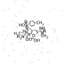 CCC1(N)C(=O)N2C(OC(=O)O)=C(CSc3nnnn3C)CS[C@H]21.Cc1ccc(S(=O)(=O)O)cc1